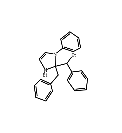 CCC(c1ccccc1)C1(Cc2ccccc2)N(CC)C=CN1c1ccccc1